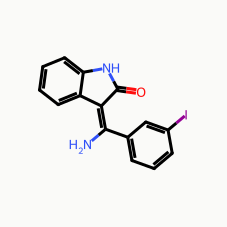 NC(=C1C(=O)Nc2ccccc21)c1cccc(I)c1